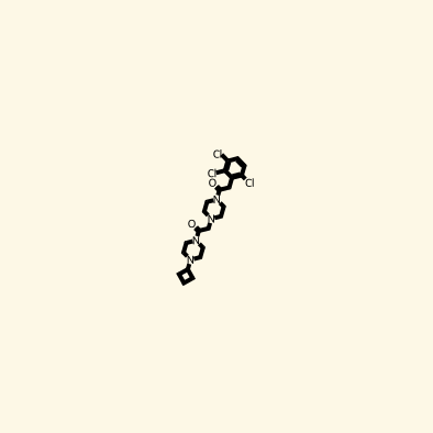 O=C(Cc1c(Cl)ccc(Cl)c1Cl)N1CCN(CC(=O)N2CCN(C3CCC3)CC2)CC1